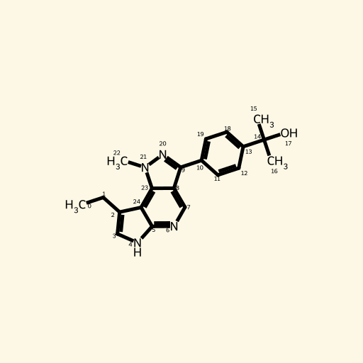 CCc1c[nH]c2ncc3c(-c4ccc(C(C)(C)O)cc4)nn(C)c3c12